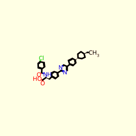 CC[C@H]1CC[C@H](c2ccc(-c3cnc(-c4ccc(C[C@H](NC(=O)c5ccc(Cl)cc5)C(=O)O)cc4)nc3)cc2)CC1